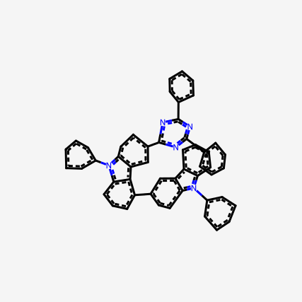 c1ccc(-c2nc(-c3ccccc3)nc(-c3ccc4c(c3)c3c(-c5ccc6c(c5)c5ccccc5n6-c5ccccc5)cccc3n4-c3ccccc3)n2)cc1